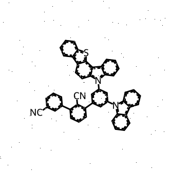 N#Cc1cccc(-c2cccc(-c3cc(-n4c5ccccc5c5ccccc54)cc(-n4c5ccccc5c5c6sc7ccccc7c6ccc54)c3)c2C#N)c1